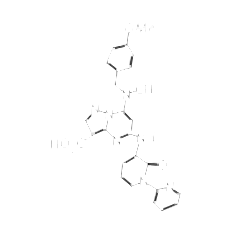 COc1ccc(CN(C)c2cc(Nc3cccn(-c4ccccn4)c3=O)nc3c(C(=O)O)cnn23)cc1